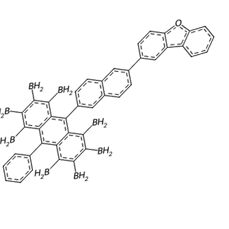 Bc1c(B)c(B)c2c(-c3ccc4cc(-c5ccc6oc7ccccc7c6c5)ccc4c3)c3c(B)c(B)c(B)c(B)c3c(-c3ccccc3)c2c1B